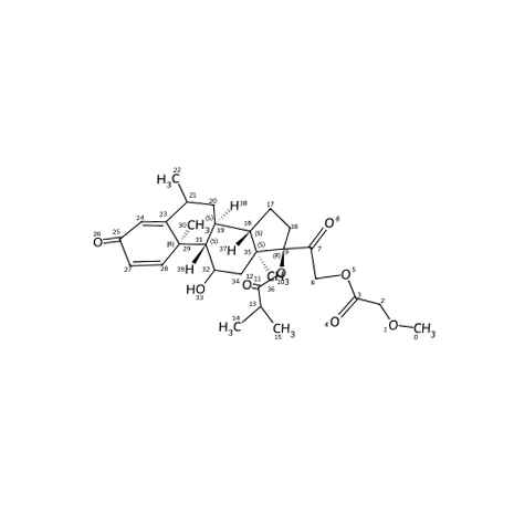 COCC(=O)OCC(=O)[C@@]1(OC(=O)C(C)C)CC[C@H]2[C@@H]3CC(C)C4=CC(=O)C=C[C@]4(C)[C@H]3C(O)C[C@@]21C